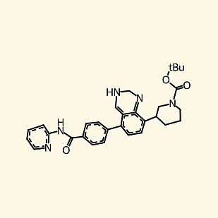 CC(C)(C)OC(=O)N1CCCC(c2ccc(-c3ccc(C(=O)Nc4ccccn4)cc3)c3c2=NCNC=3)C1